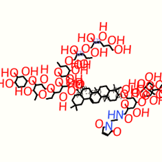 CCC(OC1OC(C)C(O)C(OC2CCC(O)C(O)C2O)C1O)C(O)C(OC1OC(C)C(OC(O)/C(O)=C(/OC(O)/C(O)=C(/O)CC(O)CO)C(C)O)C(O)C1O)C(O)OC(=O)[C@]12CCC(C)(C)CC1C1=CCC3[C@@]4(C)CC[C@H](OC5OC(C(=O)NCCN6C(=O)C=CC6=O)C(O)C(OC(O)C(O)C(O)C(C)O)C5OC5OC6(CO)C(O)C(O)C56O)[C@@](C)(CO)C4CC[C@@]3(C)[C@]1(C)C[C@H]2O